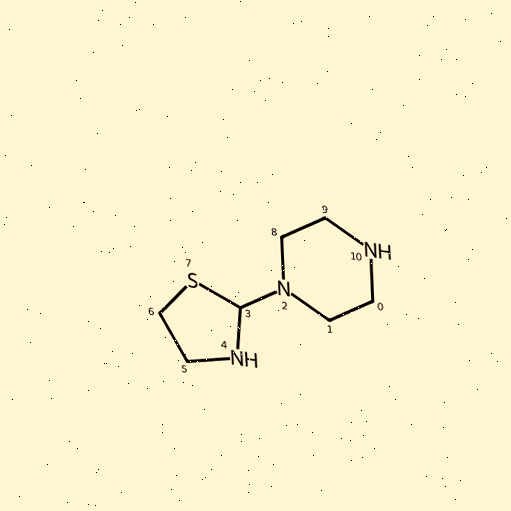 C1CN(C2NCCS2)CCN1